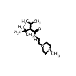 CC(C)C(C(=O)NCCN1CCN(C)CC1)C(C)(C)C